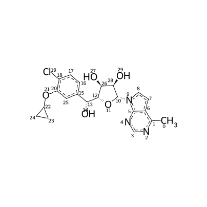 Cc1ncnc2c1ccn2[C@@H]1O[C@H]([C@H](O)c2ccc(Cl)c(OC3CC3)c2)[C@@H](O)[C@H]1O